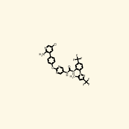 Cc1cc(C(F)(F)F)nn1-c1ccc(C(F)(F)F)cc1NC(=O)Nc1cnc(Oc2ccc(-c3cc(Cl)cnc3N)cc2)nc1